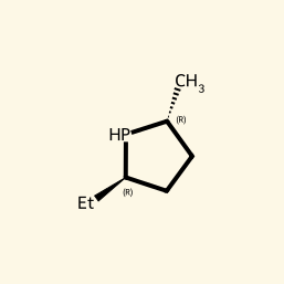 CC[C@@H]1CC[C@@H](C)P1